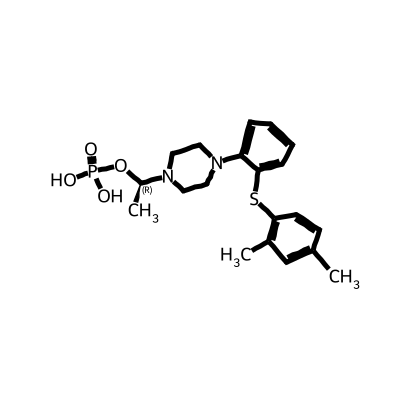 Cc1ccc(Sc2ccccc2N2CCN([C@@H](C)OP(=O)(O)O)CC2)c(C)c1